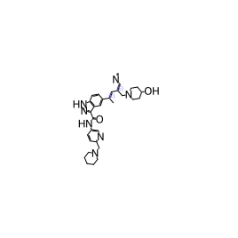 C=N/C=C(\C=C(/C)c1ccc2[nH]nc(C(=O)Nc3ccc(CN4CCCCC4)nc3)c2c1)CN1CCC(O)CC1